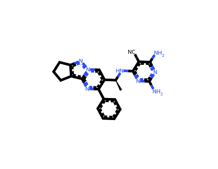 C[C@H](Nc1nc(N)nc(N)c1C#N)c1cn2nc3c(c2nc1-c1ccccc1)CCC3